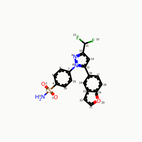 NS(=O)(=O)c1ccc(-n2nc(C(F)F)cc2-c2ccc3occc3c2)cc1